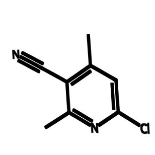 Cc1cc(Cl)nc(C)c1C#N